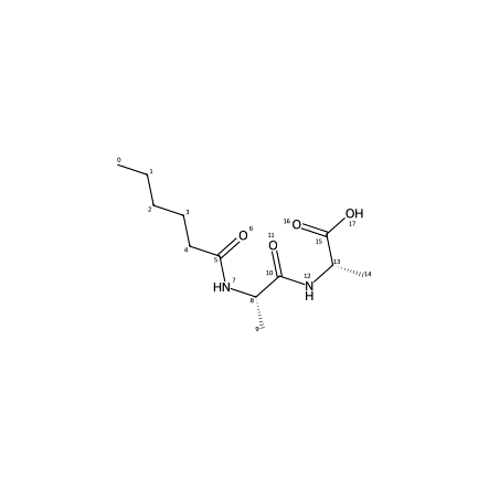 CCCCCC(=O)N[C@@H](C)C(=O)N[C@@H](C)C(=O)O